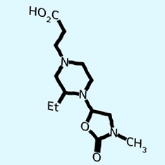 CCC1CN(CCC(=O)O)CCN1C1CN(C)C(=O)O1